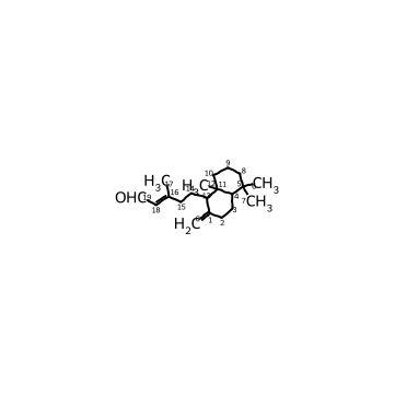 C=C1CCC2C(C)(C)CCCC2(C)C1CC/C(C)=C/C=O